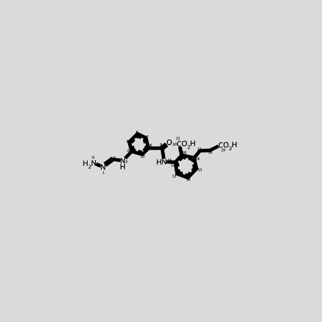 NN=CNc1cccc(C(=O)Nc2cccc(CCC(=O)O)c2C(=O)O)c1